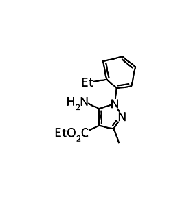 CCOC(=O)c1c(C)nn(-c2ccccc2CC)c1N